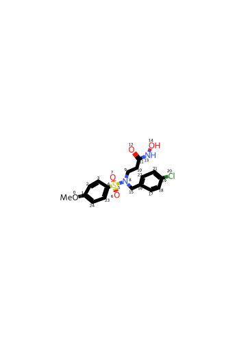 COc1ccc(S(=O)(=O)N(CCC(=O)NO)Cc2ccc(Cl)cc2)cc1